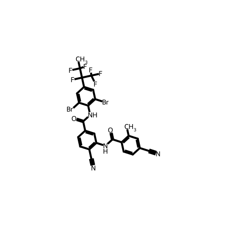 Cc1cc(C#N)ccc1C(=O)Nc1cc(C(=O)Nc2c(Br)cc(C(F)(C(C)(F)F)C(F)(F)F)cc2Br)ccc1C#N